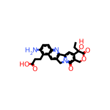 CC[C@@]1(O)C(=O)OCc2c1cc1n(c2=O)Cc2cc3c(CCC(=O)O)c(N)ccc3nc2-1